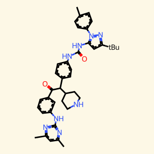 Cc1ccc(-n2nc(C(C)(C)C)cc2NC(=O)Nc2ccc(C(C(=O)c3cccc(Nc4nc(C)cc(C)n4)c3)C3CCNCC3)cc2)cc1